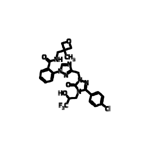 CC1(CNC(=O)c2ccccc2-n2cnc(Cn3nc(-c4ccc(Cl)cc4)n(CC(O)C(F)(F)F)c3=O)n2)COC1